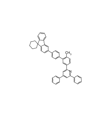 Cc1ccc(-c2cc(-c3ccccc3)cc(-c3ccccc3)n2)cc1-c1ccc(-c2ccc3c(c2)-c2ccccc2C32CCCCC2)cc1